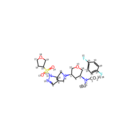 CC(C)(C)N(C(=O)O)[C@H]1C[C@@H](N2Cc3cnn(S(=O)(=O)C4CCOC4)c3C2)CO[C@@H]1c1cc(F)ccc1F